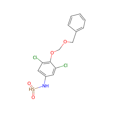 O=[SH](=O)Nc1cc(Cl)c(OCOCc2ccccc2)c(Cl)c1